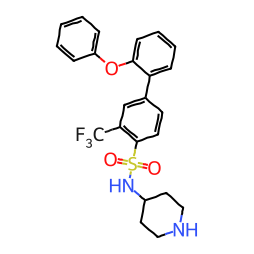 O=S(=O)(NC1CCNCC1)c1ccc(-c2ccccc2Oc2ccccc2)cc1C(F)(F)F